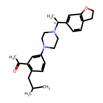 CC(=O)c1cc(N2CCN([C@@H](C)c3ccc4c(c3)OCC4)CC2)ccc1CC(C)C